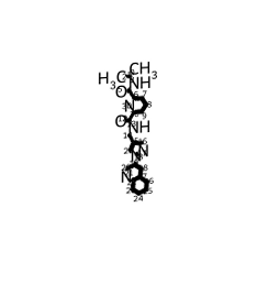 CC(C)NC(=O)c1cccc(C(=O)NCc2cnn(-c3cnc4ccccc4c3)c2)n1